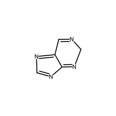 C1=NCN=C2N=CN=C12